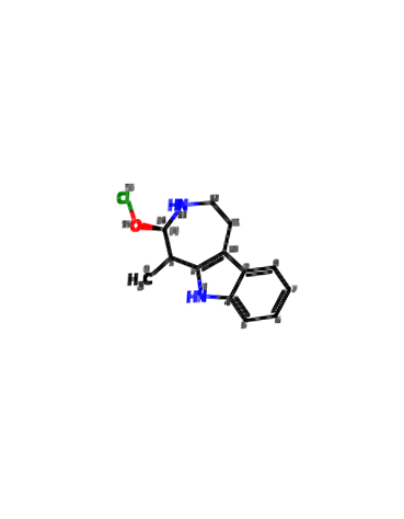 CC1c2[nH]c3ccccc3c2CCN[C@@H]1OCl